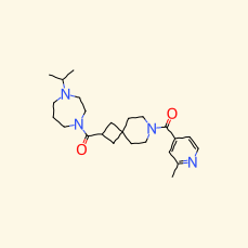 Cc1cc(C(=O)N2CCC3(CC2)CC(C(=O)N2CCCN(C(C)C)CC2)C3)ccn1